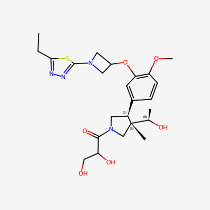 CCc1nnc(N2CC(Oc3cc([C@@H]4CN(C(=O)C(O)CO)C[C@@]4(C)[C@@H](C)O)ccc3OC)C2)s1